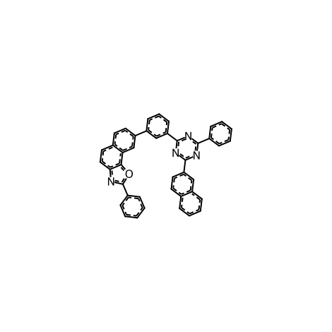 c1ccc(-c2nc(-c3cccc(-c4ccc5ccc6nc(-c7ccccc7)oc6c5c4)c3)nc(-c3ccc4ccccc4c3)n2)cc1